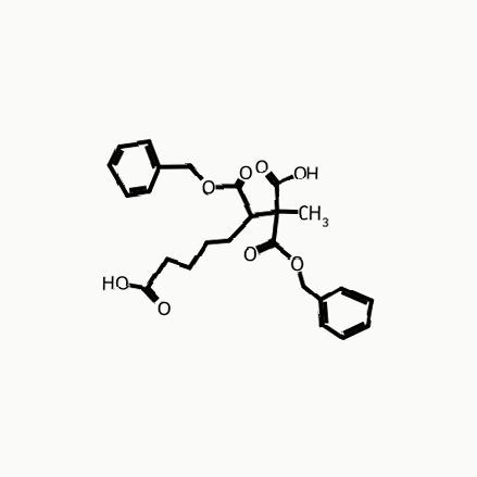 CC(C(=O)O)(C(=O)OCc1ccccc1)C(CCCCC(=O)O)C(=O)OCc1ccccc1